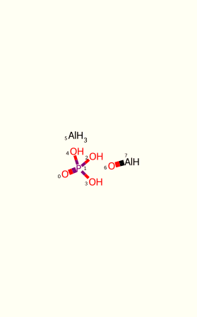 O=P(O)(O)O.[AlH3].[O]=[AlH]